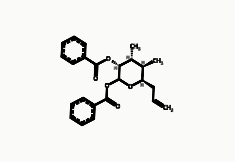 C=CC[C@H]1OC(OC(=O)c2ccccc2)[C@H](OC(=O)c2ccccc2)[C@H](C)[C@H]1C